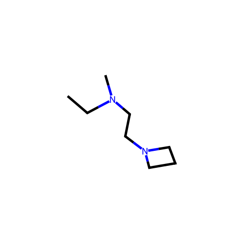 CCN(C)CCN1CCC1